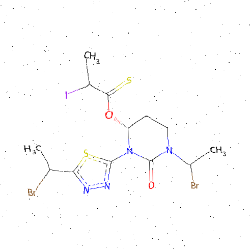 CC(I)C(=S)O[C@@H]1CCN(C(C)Br)C(=O)N1c1nnc(C(C)Br)s1